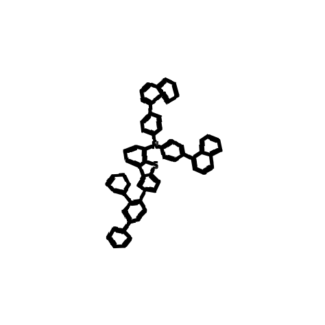 C1=CCCC(c2cc(-c3ccccc3)ccc2-c2ccc3sc4c(N(c5ccc(-c6cccc7ccccc67)cc5)c5ccc(-c6cccc7ccccc67)cc5)cccc4c3c2)=C1